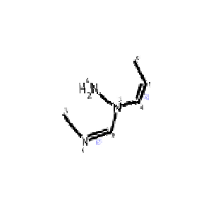 C/C=C\N(N)/C=N\C